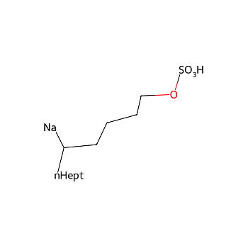 CCCCCCC[CH]([Na])CCCCOS(=O)(=O)O